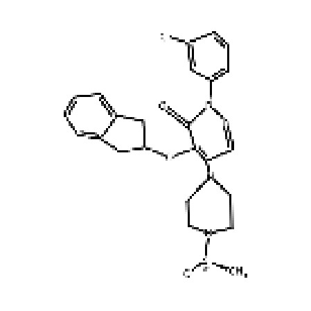 C[S@@+]([O-])N1CCN(c2cnn(-c3cccc(Cl)c3)c(=O)c2OC2Cc3ccccc3C2)CC1